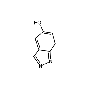 OC1=CCC2=NN=CC2=C1